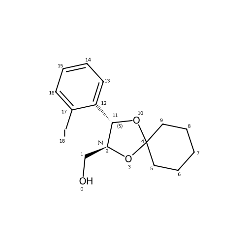 OC[C@@H]1OC2(CCCCC2)O[C@H]1c1ccccc1I